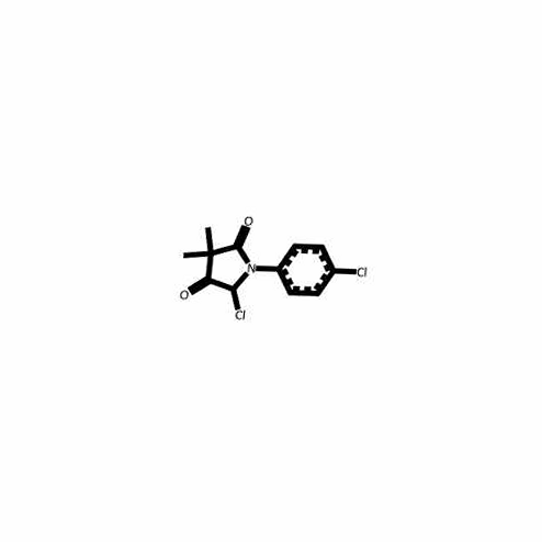 CC1(C)C(=O)C(Cl)N(c2ccc(Cl)cc2)C1=O